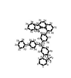 CC1(C)c2ccccc2-c2cc(N(c3ccc(-c4ccccc4)cc3)c3ccc(-c4cccc5ccc6c7ccccc7sc6c45)cc3)ccc21